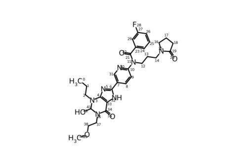 CCCN1c2nc(-c3ccc(N(CCCN4CCCC4=O)C(=O)c4cccc(F)c4)nc3)[nH]c2C(=O)N(CCOC)C1O